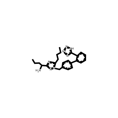 CCCCc1nc(C(N)CCC)nn1Cc1ccc(-c2ccccc2-c2nnn[nH]2)cc1